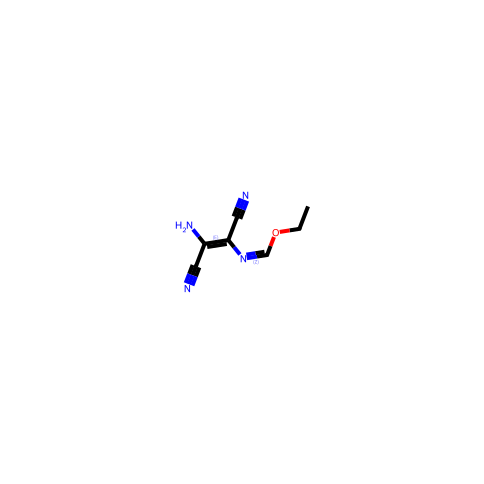 CCO/C=N\C(C#N)=C(\N)C#N